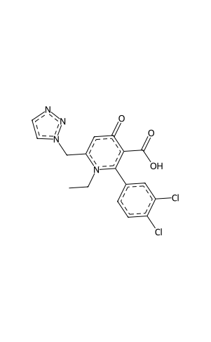 CCn1c(Cn2ccnn2)cc(=O)c(C(=O)O)c1-c1ccc(Cl)c(Cl)c1